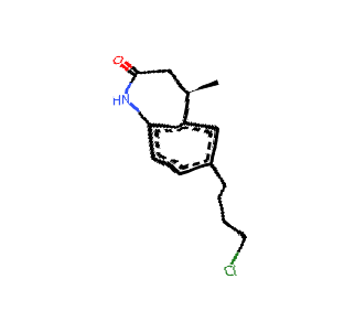 C[C@@H]1CC(=O)Nc2ccc(CCCCl)cc21